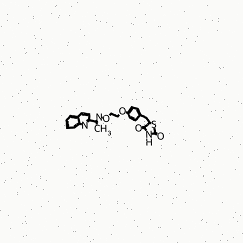 CC(=NOCCOc1ccc(CC2SC(=O)NC2=O)cc1)c1ccc2ccccc2n1